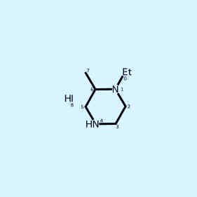 CCN1CCNCC1C.I